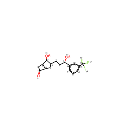 O=C1CC2C1CC(CCC(O)c1cccc(C(F)(F)F)c1)C2O